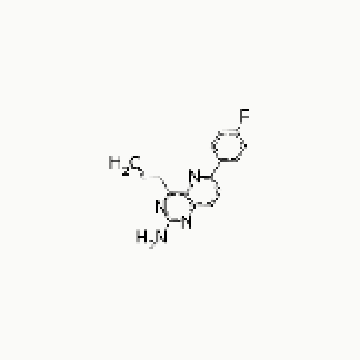 C=CCc1nc(N)nc2ccc(-c3ccc(F)cc3)nc12